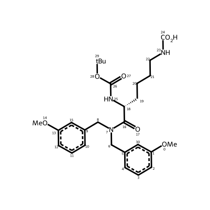 COc1cccc(CN(Cc2cccc(OC)c2)C(=O)[C@@H](CCCCNC(=O)O)NC(=O)OC(C)(C)C)c1